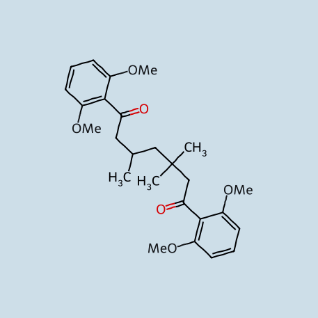 COc1cccc(OC)c1C(=O)CC(C)CC(C)(C)CC(=O)c1c(OC)cccc1OC